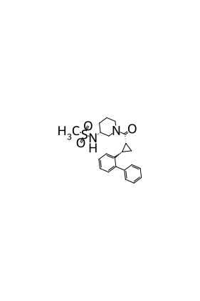 CS(=O)(=O)N[C@@H]1CCCN(C(=O)[C@@H]2C[C@H]2c2ccccc2-c2ccccc2)C1